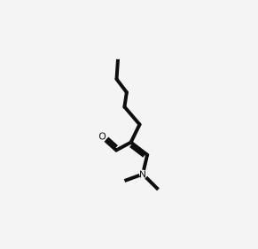 CCCCC/C(C=O)=C/N(C)C